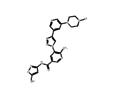 CCN1CCN(c2cncc(-c3cn(-c4cc(C(=O)Nc5cc(C(C)(C)C)on5)cnc4C)nn3)c2)CC1